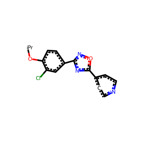 CC(C)Oc1ccc(-c2noc(-c3ccncc3)n2)cc1Cl